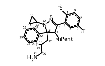 CCCCCC1C(c2cc(F)ccc2F)=NN(C2CC2)[C@@]1(C[C@H](F)CN)c1ccccc1